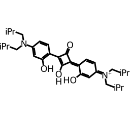 CC(C)CN(CC(C)C)c1ccc(C2=C(O)/C(=C3/C=CC(=[N+](CC(C)C)CC(C)C)C=C3O)C2=O)c(O)c1